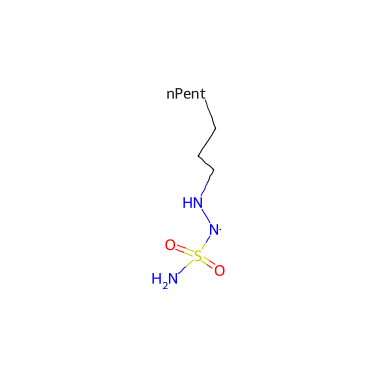 CCCCCCCCN[N]S(N)(=O)=O